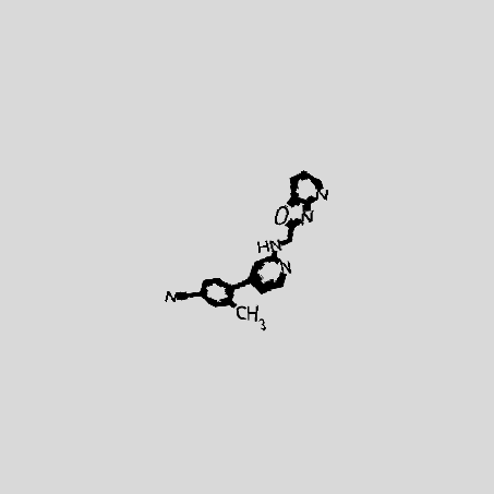 Cc1cc(C#N)ccc1-c1ccnc(NCc2nc3ncccc3o2)c1